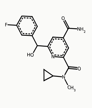 CN(C(=O)c1cc(C(N)=O)cc(C(O)c2cccc(F)c2)n1)C1CC1